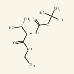 CCNC(=O)[C@@H](NC(=O)OC(C)(C)C)[C@@H](C)O